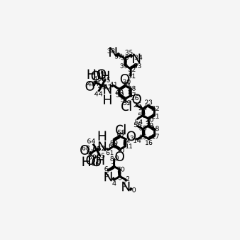 C=NCc1cncc(COc2cc(OCc3cccc(-c4cccc(COc5cc(OCc6cncc(C#N)c6)c(CNC(C)(CO)C(=O)O)cc5Cl)c4C)c3C)c(Cl)cc2CNC(C)(CO)C(=O)O)c1